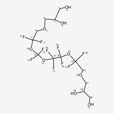 OCC(O)COCC(F)(F)OC(F)(F)OC(F)(F)C(F)(F)OC(F)(F)COCC(O)CO